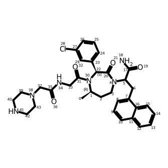 C[C@@H]1CCN(C(Cc2cccc3ccccc23)C(N)=O)C(=O)[C@H](c2cccc(Cl)c2)N1C(=O)CNC(=O)CN1CCNCC1